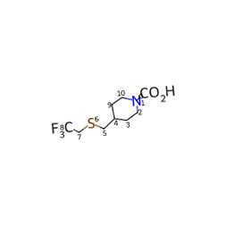 O=C(O)N1CCC(CSCC(F)(F)F)CC1